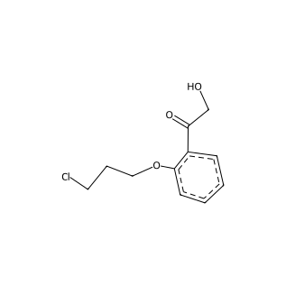 O=C(CO)c1ccccc1OCCCCl